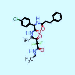 CC(C)[C@H](NC(=O)C(NC(=O)CCc1ccccc1)c1ccc(Cl)cc1)C(=O)C(F)(F)C(=O)NCC(F)(F)F